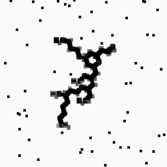 CCCCC[C@@H](C)CCOC(CC)C[C@H](CC1C[C@H](OCCCC)CC(CC=O)O1)OC